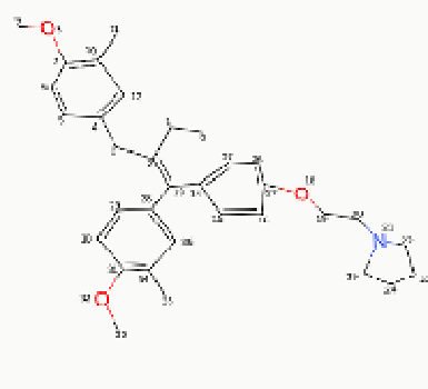 CCC(Cc1ccc(OC)c(C)c1)=C(c1ccc(OCCN2CCCC2)cc1)c1ccc(OC)c(C)c1